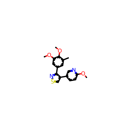 COc1ccc(-c2csnc2-c2cc(C)c(OC)c(OC)c2)cn1